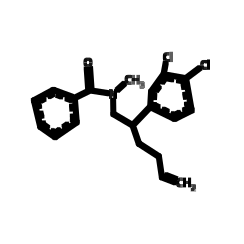 C=CCCC(CN(C)C(=O)c1ccccc1)c1ccc(Cl)c(Cl)c1